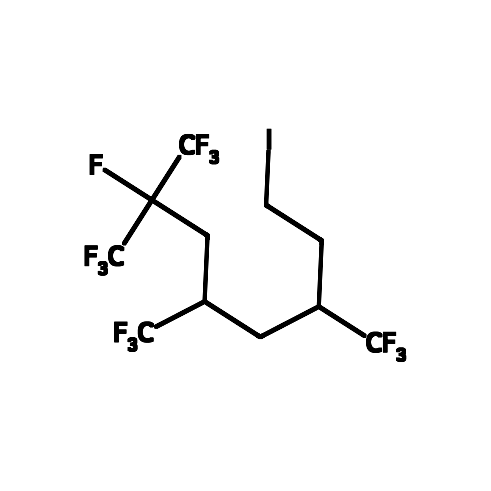 FC(F)(F)C(CCI)CC(CC(F)(C(F)(F)F)C(F)(F)F)C(F)(F)F